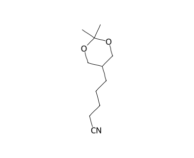 CC1(C)OCC(CCCCC#N)CO1